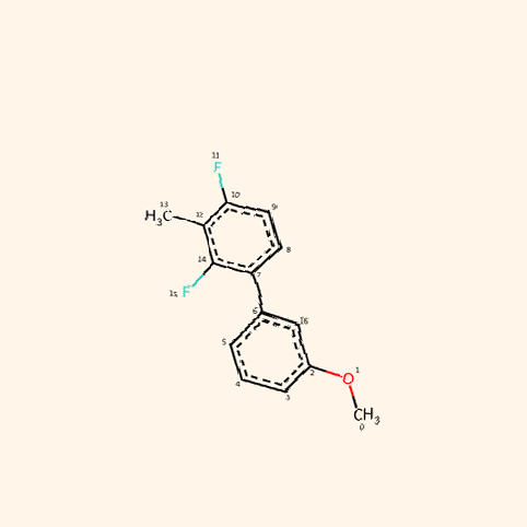 COc1cccc(-c2ccc(F)c(C)c2F)c1